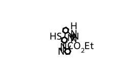 CCOC(=O)c1cccc2ncn(-c3ccc(-c4ccccc4-c4nnn[nH]4)c(S)c3)c12